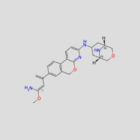 C=C(/C=C(\N)OC)c1ccc2c(c1)COc1nc(NC3C[C@H]4COC[C@@H](C3)N4)ccc1-2